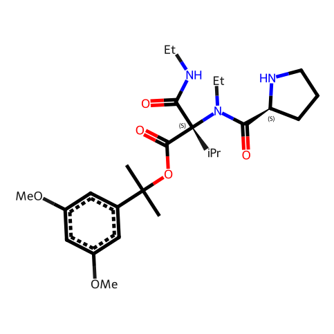 CCNC(=O)[C@](C(=O)OC(C)(C)c1cc(OC)cc(OC)c1)(C(C)C)N(CC)C(=O)[C@@H]1CCCN1